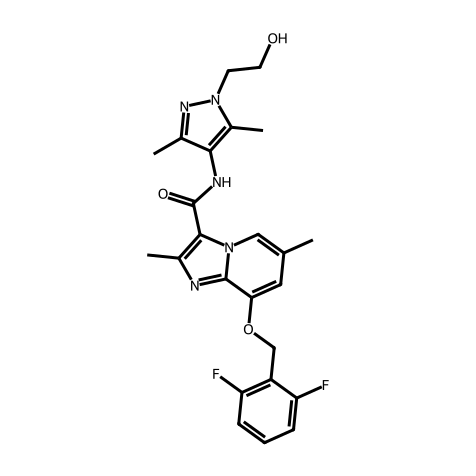 Cc1cc(OCc2c(F)cccc2F)c2nc(C)c(C(=O)Nc3c(C)nn(CCO)c3C)n2c1